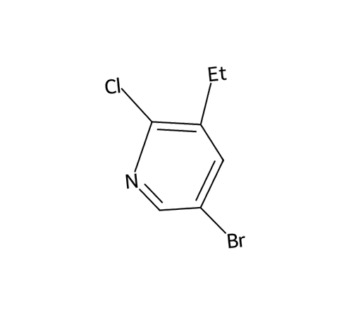 CCc1cc(Br)cnc1Cl